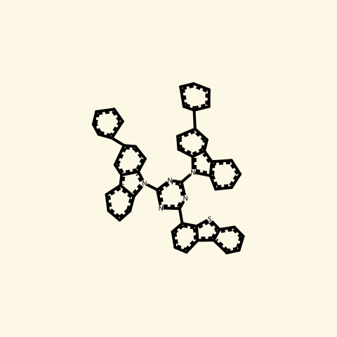 c1ccc(-c2ccc3c(c2)c2ccccc2n3-c2nc(-c3cccc4c3sc3ccccc34)nc(-n3c4ccccc4c4cc(-c5ccccc5)ccc43)n2)cc1